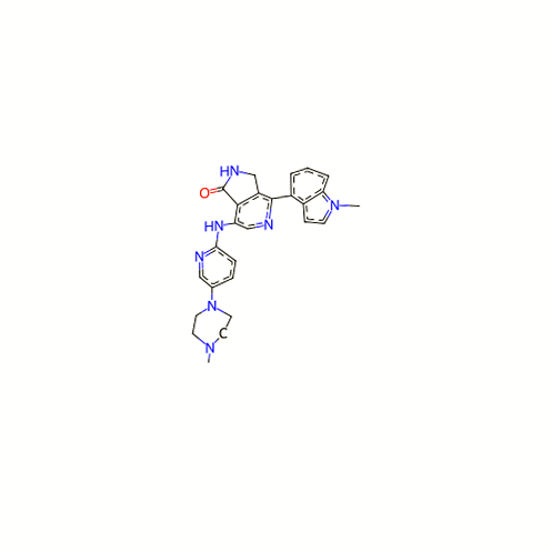 CN1CCN(c2ccc(Nc3cnc(-c4cccc5c4ccn5C)c4c3C(=O)NC4)nc2)CC1